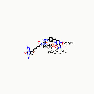 COOCN(CCN(CC=O)CC(=O)O)CC(Cc1ccc(NC(=O)CNC(=O)CCCCC2SCC3NC(=O)NC32)cc1)N(COOC)COOC